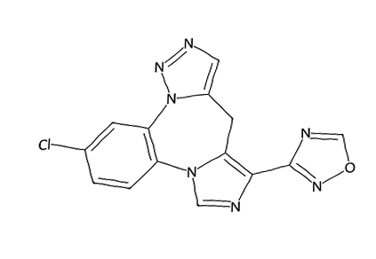 Clc1ccc2c(c1)-n1nncc1Cc1c(-c3ncon3)ncn1-2